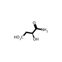 NC(=O)[C@@H](O)CC(=O)O